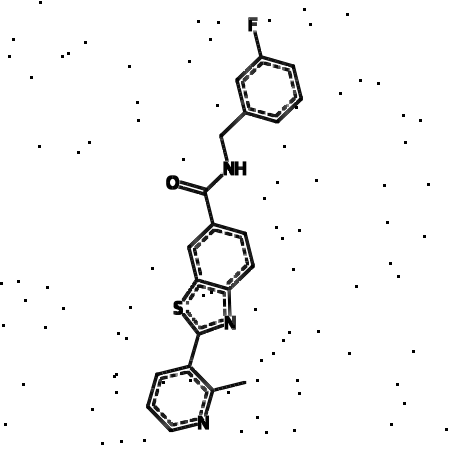 Cc1ncccc1-c1nc2ccc(C(=O)NCc3cccc(F)c3)cc2s1